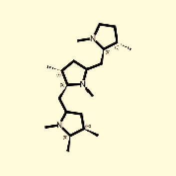 C[C@@H]1CC(C[C@H]2[C@H](C)CC(C[C@@H]3[C@@H](C)CCN3C)N2C)N(C)[C@@H]1C